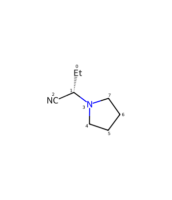 CC[C@@H](C#N)N1CCCC1